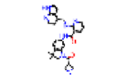 CC1(C)CN(C(=O)C2CNC2)c2cc(NC(=O)c3cccnc3NCc3ccnc4[nH]ccc34)ccc21